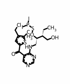 CC[C@H](CO)[C@H](CNc1ncncc1C(=O)c1cc(CCl)c(C)s1)OSP(I)I